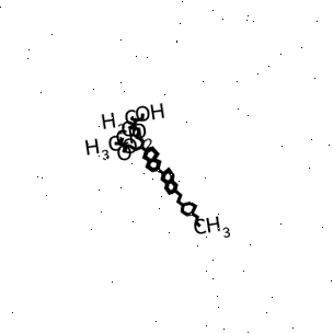 C=C(C)C(=O)OCC(CCOC(=O)C(=C)CO)c1ccc2cc(-c3ccc4cc(CCC5CCC(CCC)CC5)ccc4c3)ccc2c1